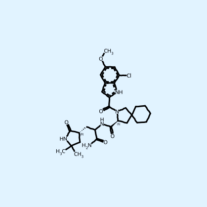 COc1cc(Cl)c2[nH]c(C(=O)N3CC4(CCCCC4)C[C@H]3C(=O)NC(C[C@@H]3CC(C)(C)NC3=O)C(N)=O)cc2c1